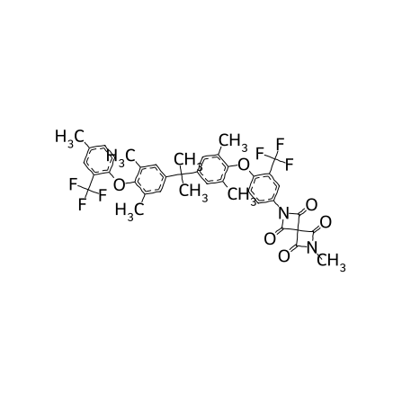 Cc1ccc(Oc2c(C)cc(C(C)(C)c3cc(C)c(Oc4ccc(N5C(=O)C6(C(=O)N(C)C6=O)C5=O)cc4C(F)(F)F)c(C)c3)cc2C)c(C(F)(F)F)c1